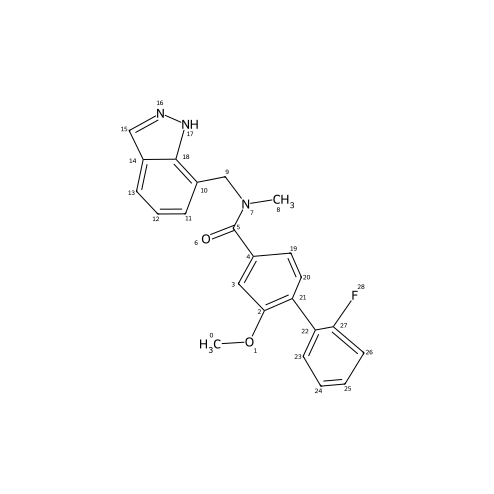 COc1cc(C(=O)N(C)Cc2cccc3cn[nH]c23)ccc1-c1ccccc1F